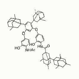 CC(=O)Nc1ccc(Oc2cc(Oc3ccc(NC(=O)C45CC6(C)CC(C)(C4)CC(C47CC8(C)CC(C)(CC(C)(C8)C4)C7)(C6)C5)c(O)c3)c(C34CC5CC(C)(CC(C)(C5)C3)C4)cc2C23CC4CC(C)(CC(C)(C4)C2)C3)cc1O